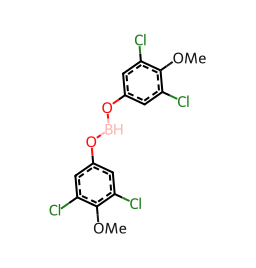 COc1c(Cl)cc(OBOc2cc(Cl)c(OC)c(Cl)c2)cc1Cl